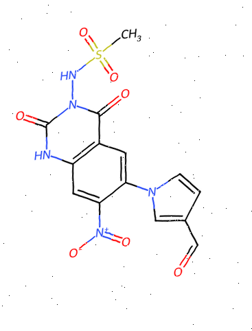 CS(=O)(=O)Nn1c(=O)[nH]c2cc([N+](=O)[O-])c(-n3ccc(C=O)c3)cc2c1=O